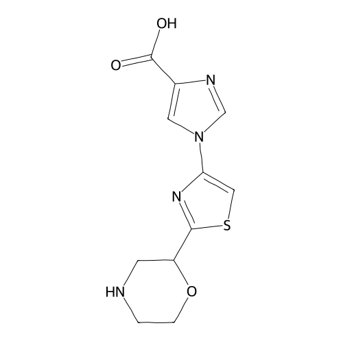 O=C(O)c1cn(-c2csc(C3CNCCO3)n2)cn1